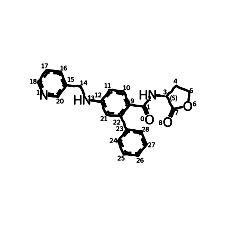 O=C(N[C@H]1CCOC1=O)c1ccc(NCc2cccnc2)cc1-c1ccccc1